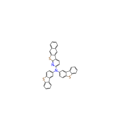 c1ccc2cc3c(cc2c1)sc1nc(N(c2ccc4sc5ccccc5c4c2)c2ccc4sc5ccccc5c4c2)ccc13